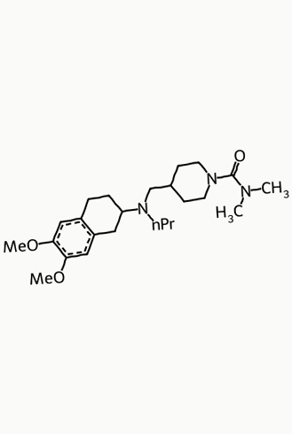 CCCN(CC1CCN(C(=O)N(C)C)CC1)C1CCc2cc(OC)c(OC)cc2C1